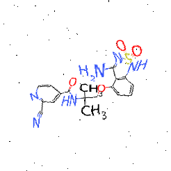 CC(C)(COc1cccc2c1C(N)=NS(=O)(=O)N2)NC(=O)c1ccnc(C#N)c1